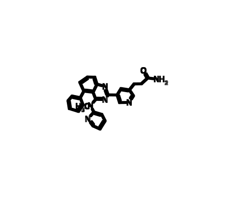 CN(c1ccccn1)c1nc(-c2cncc(CCC(N)=O)c2)nc2cccc(-c3ccccc3)c12